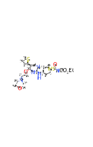 CCOC(=O)N=[SH](=O)c1ccc(Nc2ncc(-c3cccs3)c(OCCN3CCOCC3)n2)cc1